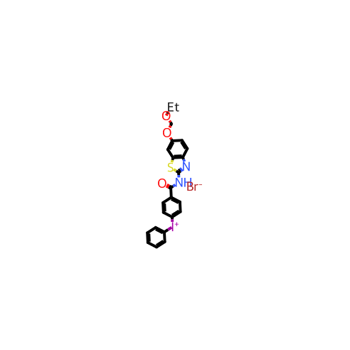 CCOCOc1ccc2nc(NC(=O)c3ccc([I+]c4ccccc4)cc3)sc2c1.[Br-]